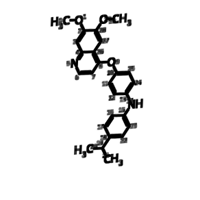 COc1cc2nccc(Oc3ccc(Nc4ccc(C(C)C)cc4)cc3)c2cc1OC